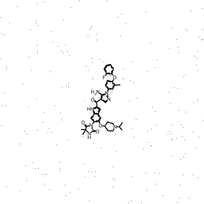 Cc1cc(-n2ncc(C(=O)c3cc4cc(OC5CCN(C(C)C)CC5)c(N5C(=O)NC(C)(C)C5=O)cc4[nH]3)c2N)ccc1Oc1ccccc1F